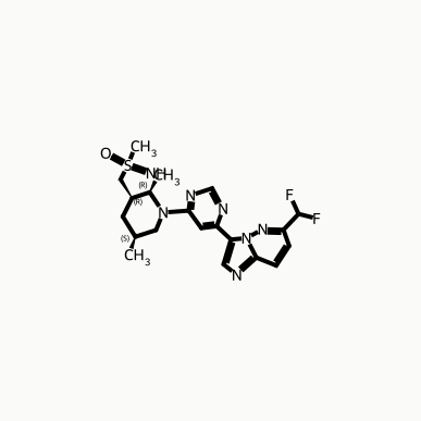 C[C@H]1C[C@@H](CS(C)(=N)=O)[C@@H](C)N(c2cc(-c3cnc4ccc(C(F)F)nn34)ncn2)C1